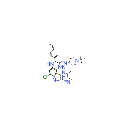 C=C(/C=C\C=C/C)[C@H](Nc1cc(Cl)c2ncc(C#N)c(N[C@@H](C)CC)c2c1)c1cn(C2CCN(C(C)(C)C)CC2)nn1